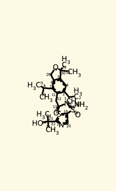 CC(C)c1cc2c(c(C(C)C)c1CC(=O)N=[S@@](N)(=O)c1cnc(C(C)(C)O)s1)COC2(C)C